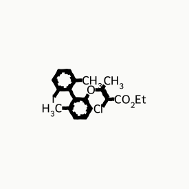 CCOC(=O)C(Cl)=C(C)Oc1cccc(C)c1-c1c(C)cccc1I